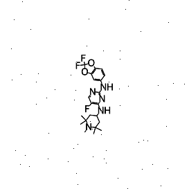 CN1C(C)(C)CC(Nc2nc(Nc3ccc4c(c3)OC(F)(F)O4)ncc2F)CC1(C)C